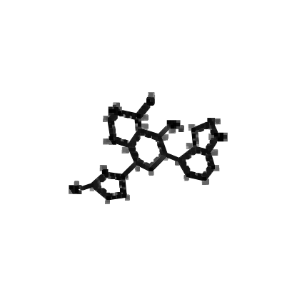 N#Cc1ccc(-c2cc(-c3cccc4[nH]ncc34)c(N)c3c(=O)[nH]cnc23)s1